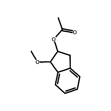 COC1c2ccccc2CC1OC(C)=O